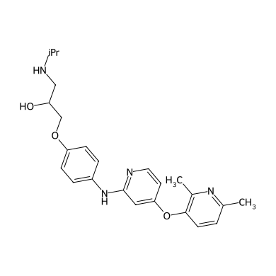 Cc1ccc(Oc2ccnc(Nc3ccc(OCC(O)CNC(C)C)cc3)c2)c(C)n1